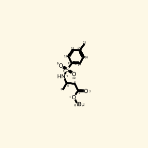 CCC(C)OC(=O)CC(C)NS(=O)(=O)c1ccc(C)cc1